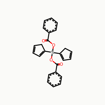 O=C([O][Ti]([O]C(=O)c1ccccc1)([C]1=CC=CC1)[C]1=CC=CC1)c1ccccc1